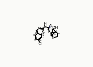 O/N=C(\C[C@]12CN3CCC1(CC3)C2)Nc1ncc2ccc(Cl)cc2n1